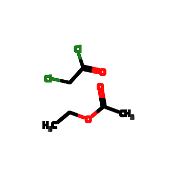 CCOC(C)=O.O=C(Cl)CCl